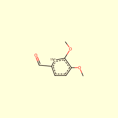 COc1ccc(C=O)[13cH]c1OC